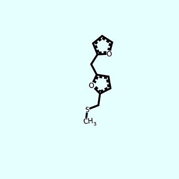 CSCc1ccc(Cc2ccco2)o1